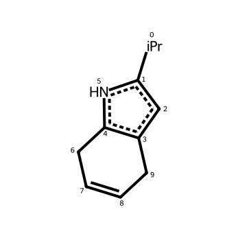 CC(C)c1cc2c([nH]1)CC=CC2